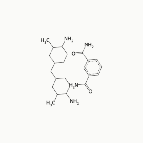 CC1CC(CC2CCC(N)C(C)C2)CCC1N.NC(=O)c1cccc(C(N)=O)c1